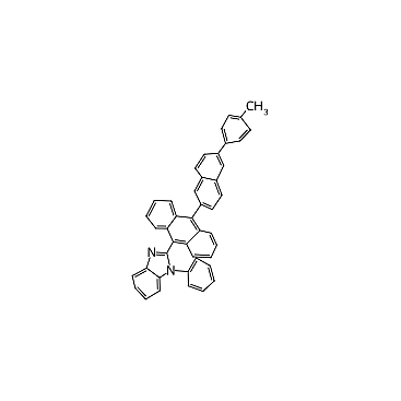 Cc1ccc(-c2ccc3cc(-c4c5ccccc5c(-c5nc6ccccc6n5-c5ccccc5)c5ccccc45)ccc3c2)cc1